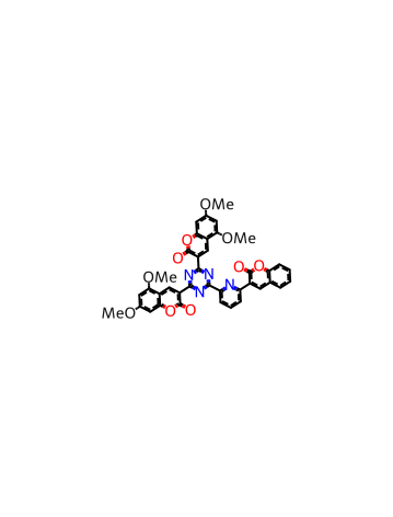 COc1cc(OC)c2cc(-c3nc(-c4cccc(-c5cc6ccccc6oc5=O)n4)nc(-c4cc5c(OC)cc(OC)cc5oc4=O)n3)c(=O)oc2c1